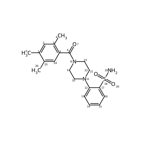 Cc1cc(C)c(C(=O)N2CCN(c3ccccc3S(N)(=O)=O)CC2)cc1C